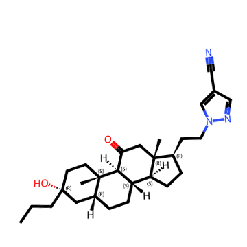 CCC[C@@]1(O)CC[C@@]2(C)[C@H](CC[C@H]3[C@@H]4CC[C@H](CCn5cc(C#N)cn5)[C@@]4(C)CC(=O)[C@@H]32)C1